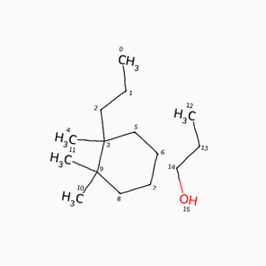 CCCC1(C)CCCCC1(C)C.CCCO